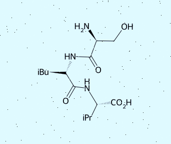 CC[C@H](C)[C@H](NC(=O)[C@@H](N)CO)C(=O)N[C@H](C(=O)O)C(C)C